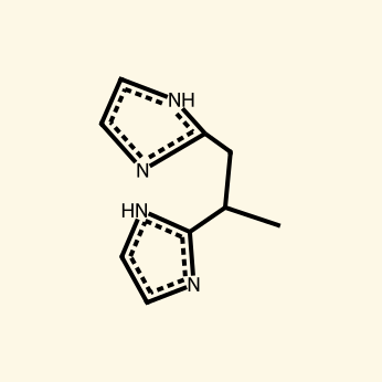 CC(Cc1ncc[nH]1)c1ncc[nH]1